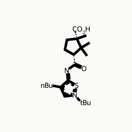 CCCCc1cn(C(C)(C)C)sc1=NC(=O)[C@@H]1CC[C@](C)(C(=O)O)C1(C)C